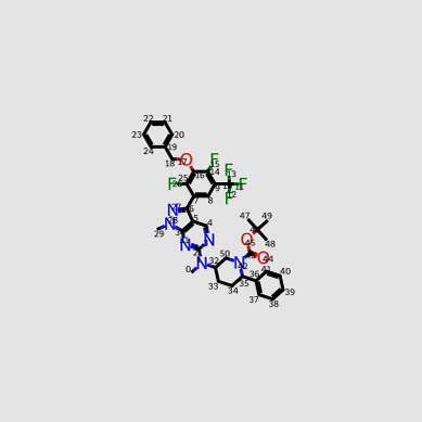 CN(c1ncc2c(-c3cc(C(F)(F)F)c(F)c(OCc4ccccc4)c3F)nn(C)c2n1)C1CCC(c2ccccc2)N(C(=O)OC(C)(C)C)C1